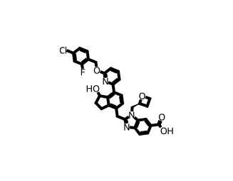 O=C(O)c1ccc2nc(Cc3ccc(-c4cccc(OCc5ccc(Cl)cc5F)n4)c4c3CCC4O)n(C[C@@H]3CCO3)c2c1